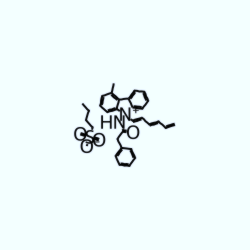 C=CC=CC=C[N+]1(NC(=O)Cc2ccccc2)c2ccccc2-c2c(C)cccc21.CCCCS(=O)(=O)[O-]